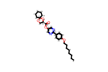 CCCCCCCCOc1ccc(-c2ncc(OC(=O)[C@H]3COC4(CCCCC4)O3)cn2)cc1